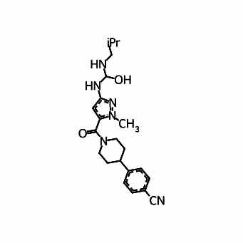 CC(C)CNC(O)Nc1cc(C(=O)N2CCC(c3ccc(C#N)cc3)CC2)n(C)n1